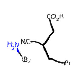 CC(C)(C)N.CC(C)CC(C#N)CC(=O)O